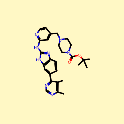 Cc1ncnc(-c2ccc3nc(Nc4cc(CN5CCN(C(=O)OC(C)(C)C)CC5)ccn4)[nH]c3c2)c1C